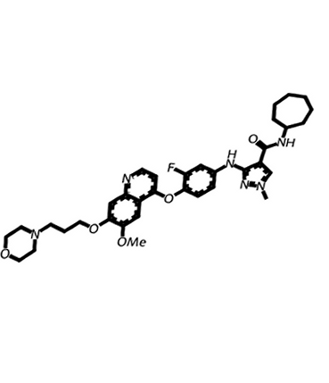 COc1cc2c(Oc3ccc(Nc4nn(C)cc4C(=O)NC4CCCCCC4)cc3F)ccnc2cc1OCCCN1CCOCC1